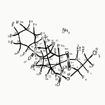 CCN(C(F)(C(F)(F)OP(=O)(O)OC(F)(F)C(F)(N(CC)S(=O)(=O)C1(F)C(F)(F)C(F)(F)C(F)(F)C(F)(F)C1(F)F)C(F)(F)C(F)(F)F)C(F)(F)C(F)(F)F)S(=O)(=O)C1(F)C(F)(F)C(F)(F)C(F)(F)C(F)(F)C1(F)F.N